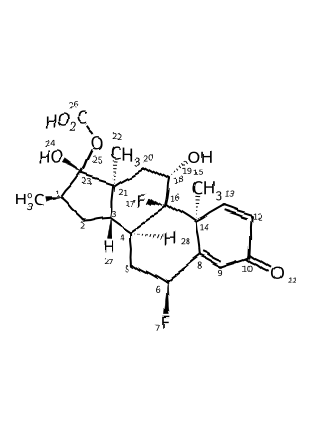 C[C@@H]1C[C@H]2[C@@H]3C[C@H](F)C4=CC(=O)C=C[C@]4(C)[C@@]3(F)[C@@H](O)C[C@]2(C)[C@@]1(O)OC(=O)O